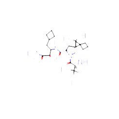 CC(C)(C)[C@@H](N)C(=O)N1C[C@]2(C[C@H]1C(=O)NC(CC1CCC1)C(=O)C(N)=O)C(C)(C)C21CCC1